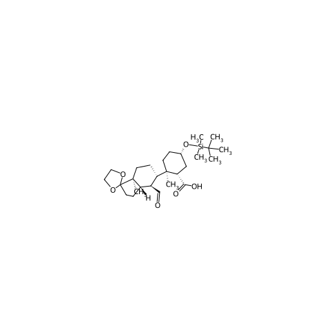 CC(C)(C)[Si](C)(C)O[C@H]1CC[C@](C)([C@H]2CC[C@@]3(C)[C@@H](CCC34OCCO4)[C@@H]2C=O)[C@@H](C(=O)O)C1